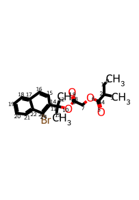 CCC(C)C(=O)OCC(=O)OC(C)(C)c1ccc2ccccc2c1Br